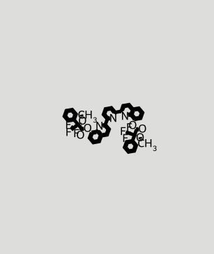 COC(C(=O)Oc1cccc2ccc(-c3cccc(-c4ccc5cccc(OC(=O)[C@](OC)(c6ccccc6)C(F)(F)F)c5n4)n3)nc12)(c1ccccc1)C(F)(F)F